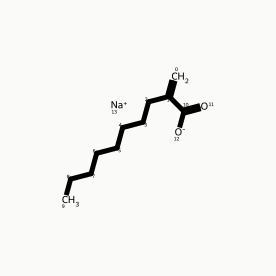 C=C(CCCCCCCC)C(=O)[O-].[Na+]